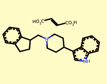 O=C(O)/C=C/C(=O)O.c1ccc2c(c1)CCC2CN1CCC(c2c[nH]c3ccccc23)CC1